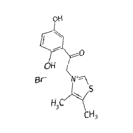 Cc1sc[n+](CC(=O)c2cc(O)ccc2O)c1C.[Br-]